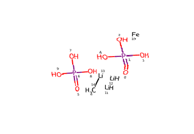 O=P(O)(O)O.O=P(O)(O)O.[Fe].[LiH].[LiH].[Li][CH3]